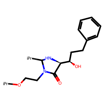 CC(C)OCCN1C(=O)[C@H]([C@H](O)[CH]Cc2ccccc2)NC1C(C)C